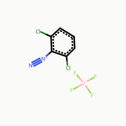 F[B-](F)(F)F.N#[N+]c1c(Cl)cccc1Cl